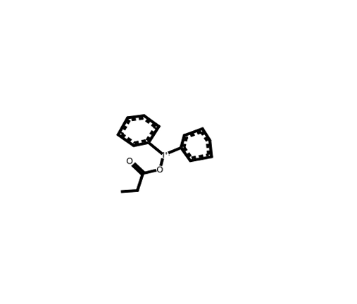 CCC(=O)O[I+](c1ccccc1)c1ccccc1